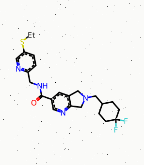 CCSc1ccc(CNC(=O)c2cnc3c(c2)CN(CC2CCC(F)(F)CC2)C3)nc1